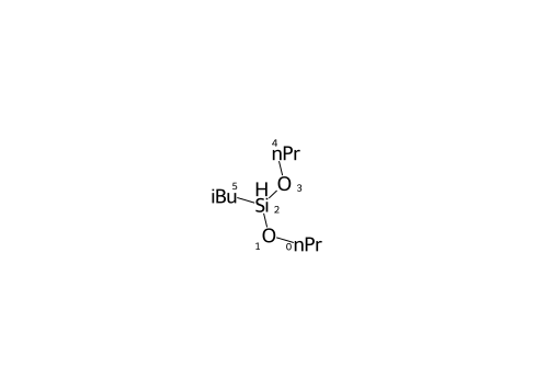 CCCO[SiH](OCCC)C(C)CC